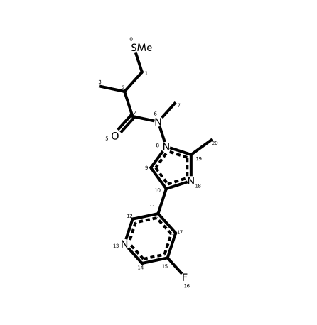 CSCC(C)C(=O)N(C)n1cc(-c2cncc(F)c2)nc1C